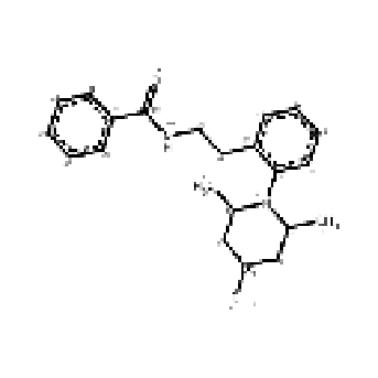 CC1CN(C)CC(C)N1c1ccccc1CCNC(=O)c1ccccc1